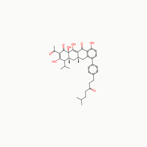 CC(=O)C1=C(O)C(C(C)C)[C@@]2(C)C[C@@]3(C)Cc4c(-c5ccc(CCC(=O)CCC(C)C)cc5)ccc(O)c4C(=O)C3=C(O)[C@@]2(O)C1=O